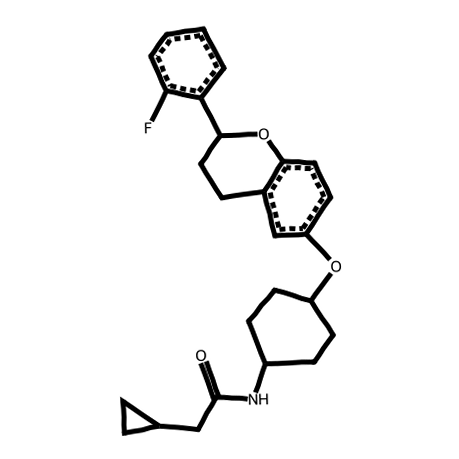 O=C(CC1CC1)NC1CCC(Oc2ccc3c(c2)CCC(c2ccccc2F)O3)CC1